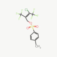 Cc1ccc(S(=O)(=O)OCC(=C(Cl)C(F)(F)F)C(F)(F)F)cc1